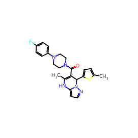 CC1=C(C(=O)N2CCN(c3ccc(F)cc3)CC2)C(c2ccc(C)s2)n2nccc2N1